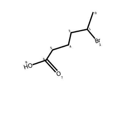 CC(Br)CCCC(=O)O